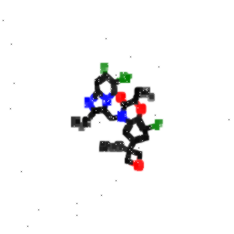 COC1(c2cc(F)c3c(c2)N(Cc2c(C)nc4cc(F)c(Br)cn24)C(=O)[C@@H](C)O3)COC1